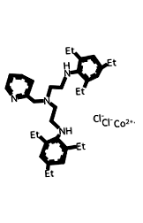 CCc1cc(CC)c(NCCN(CCNc2c(CC)cc(CC)cc2CC)Cc2ccccn2)c(CC)c1.[Cl-].[Cl-].[Co+2]